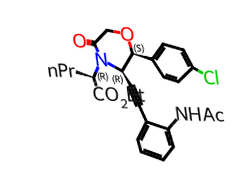 CCC[C@H](C(=O)OCC)N1C(=O)CO[C@@H](c2ccc(Cl)cc2)[C@H]1C#Cc1ccccc1NC(C)=O